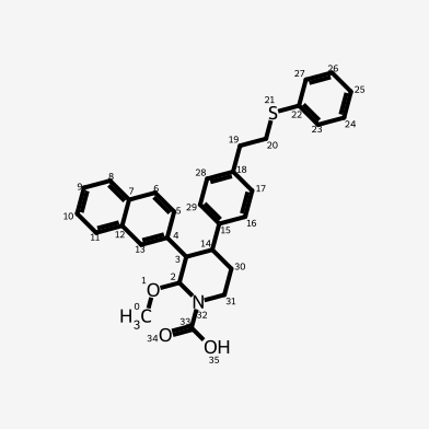 COC1C(c2ccc3ccccc3c2)C(c2ccc(CCSc3ccccc3)cc2)CCN1C(=O)O